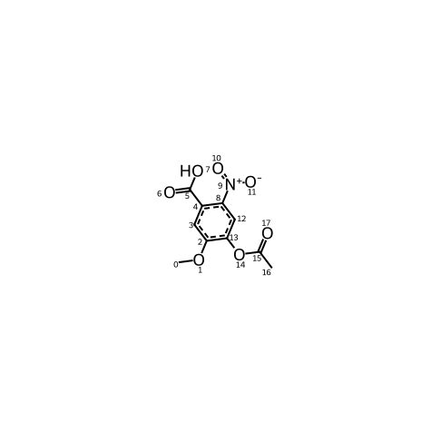 COc1cc(C(=O)O)c([N+](=O)[O-])cc1OC(C)=O